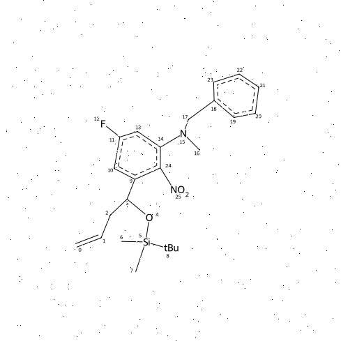 C=CCC(O[Si](C)(C)C(C)(C)C)c1cc(F)cc(N(C)Cc2ccccc2)c1[N+](=O)[O-]